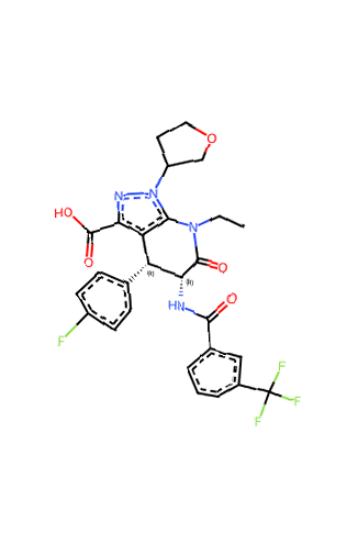 CCN1C(=O)[C@H](NC(=O)c2cccc(C(F)(F)F)c2)[C@H](c2ccc(F)cc2)c2c(C(=O)O)nn(C3CCOC3)c21